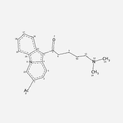 CC(=O)c1ccc2c(C(=O)CCCCN(C)C)c3ccccc3n2c1